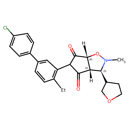 CCc1ccc(-c2ccc(Cl)cc2)cc1C1C(=O)[C@@H]2[C@@H](ON(C)[C@H]2C2CCOC2)C1=O